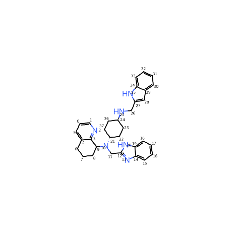 c1cnc2c(c1)CCCC2N(Cc1nc2ccccc2[nH]1)[C@H]1CC[C@H](NCc2cc3ccccc3[nH]2)CC1